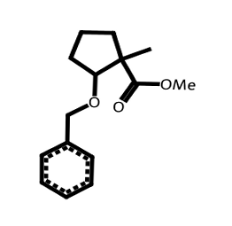 COC(=O)C1(C)CCCC1OCc1ccccc1